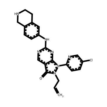 C=CCn1c(=O)c2cnc(Nc3ccc4c(c3)CCNC4)nc2n1-c1ccc(Cl)cn1